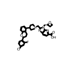 O=C(O)c1ccc2nc(CN3CCC(c4cccc5c4CCC(c4ccc(Cl)cc4F)O5)CC3)n(C[C@@H]3CCO3)c2n1